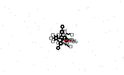 CCCCOc1ccc(C(=CC2(C=C(c3ccc(OCCCC)cc3)c3ccc(C4CCCC4)cc3NCCCCl)OC(=O)c3c(Cl)c(Cl)c(Cl)c(Cl)c32)c2ccc(C3CCCC3)cc2NCCCCl)cc1